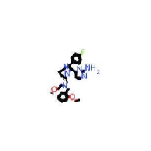 CCOc1ccccc1CN(CCOC)C[C@@H]1CCc2nc(-c3ccc(F)cc3)c(-c3ccnc(N)n3)n21